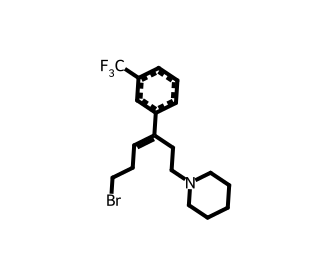 FC(F)(F)c1cccc(C(=CCCBr)CCN2CCCCC2)c1